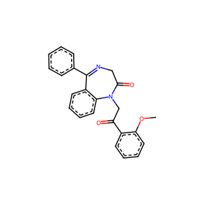 COc1ccccc1C(=O)CN1C(=O)CN=C(c2ccccc2)c2ccccc21